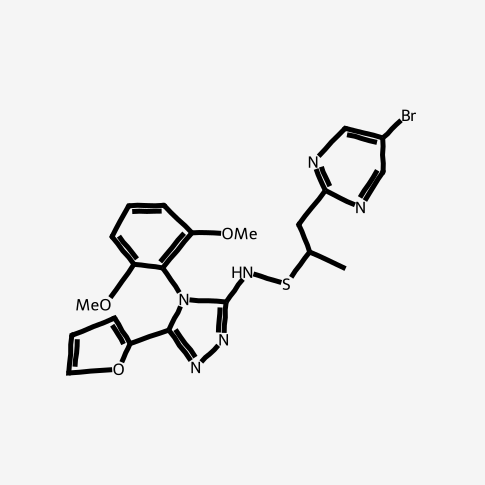 COc1cccc(OC)c1-n1c(NSC(C)Cc2ncc(Br)cn2)nnc1-c1ccco1